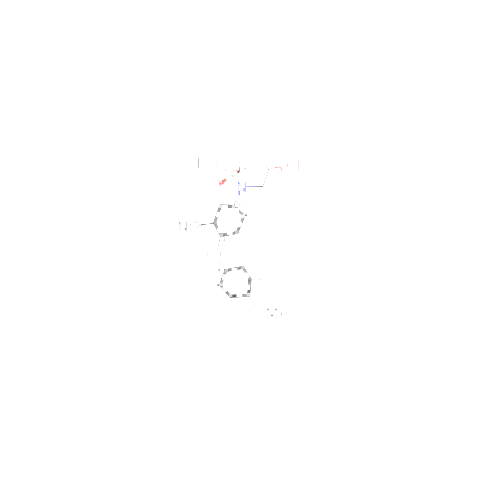 CSc1ccc(Oc2ccc(N(CCO)S(C)(=O)=O)cc2C#N)cc1